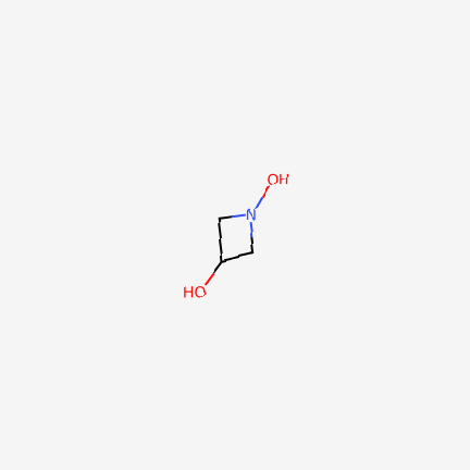 OC1CN(O)C1